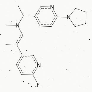 C/C(=C\N(C)C(C)c1ccc(N2CCCC2)nc1)c1ccc(F)nc1